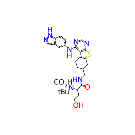 CC(C)(C)N(C(=O)O)[C@H](CCO)C(=O)NCC1CCc2c(sc3ncnc(Nc4ccc5[nH]ncc5c4)c23)C1